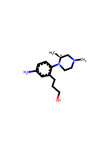 C[C@H]1CN(C)CCN1c1ccc(N)cc1CCCO